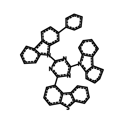 c1ccc(-c2ccc3c4ccccc4n(-c4nc(-c5cccc6sc7ccccc7c56)nc(-n5c6ccccc6c6ccccc65)n4)c3c2)cc1